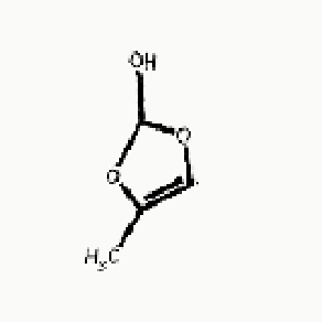 CC1=[C]OC(O)O1